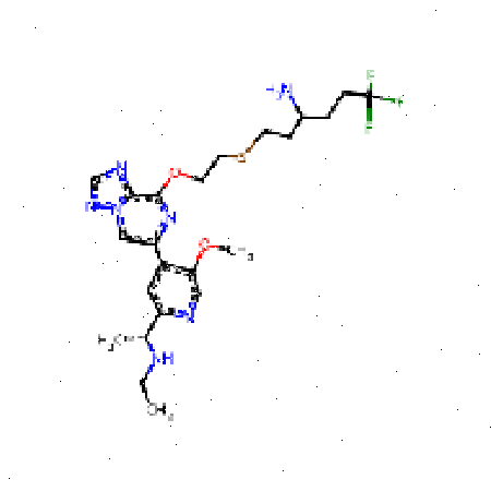 CCN[C@H](C)c1cc(-c2cn3ncnc3c(OCCSCCC(N)CCC(F)(F)F)n2)c(OC)cn1